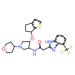 O=C(Cc1nc2c(C(F)(F)F)cccc2[nH]1)NC1CN(C2CCOCC2)C[C@@H]1OC1CCc2ccsc21